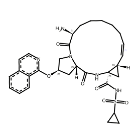 N[C@H]1CCCCC/C=C\[C@@H]2C[C@@]2(C(=O)NS(=O)(=O)C2CC2)NC(=O)[C@@H]2C[C@@H](Oc3nccc4ccccc34)CN2C1=O